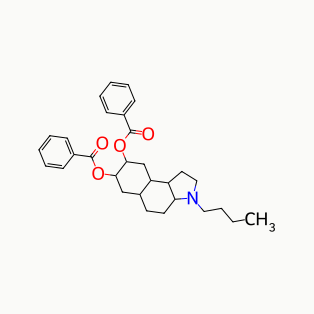 CCCCN1CCC2C3CC(OC(=O)c4ccccc4)C(OC(=O)c4ccccc4)CC3CCC21